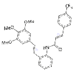 COc1cc(/C=C/c2ccccc2NC(=O)/C=C/c2ccc(C(F)(F)F)cc2)cc(OC)c1OC